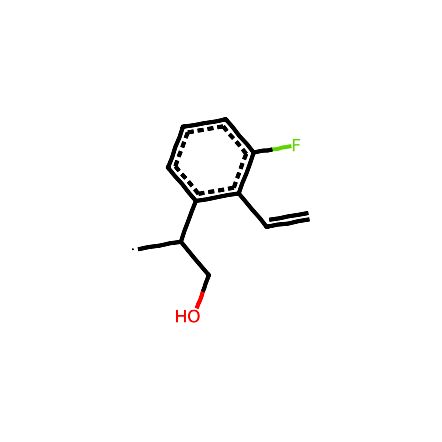 [CH2]C(CO)c1cccc(F)c1C=C